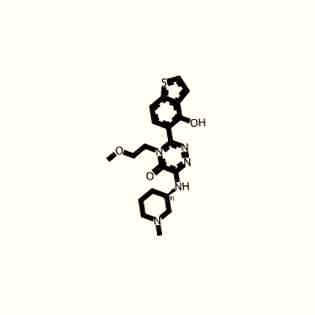 COCCn1c(-c2ccc3sccc3c2O)nnc(N[C@@H]2CCCN(C)C2)c1=O